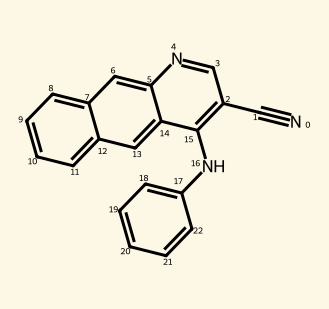 N#Cc1cnc2cc3ccccc3cc2c1Nc1ccccc1